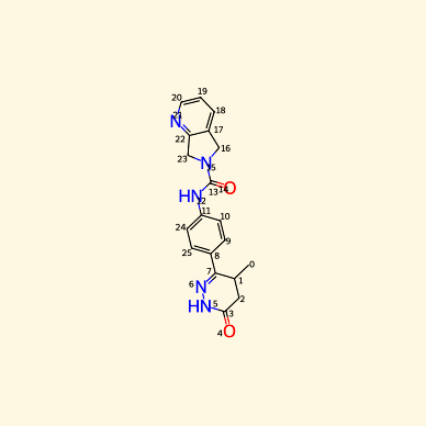 CC1CC(=O)NN=C1c1ccc(NC(=O)N2Cc3cccnc3C2)cc1